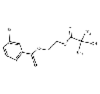 O=C(OCCOC(=O)C(O)(C(F)(F)F)C(F)(F)F)c1cccc(Br)c1